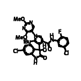 CCC(C)c1c(C2(O)C(=O)Nc3cc(Cl)ccc32)c(C(=O)Nc2cc(Cl)ccc2F)cn1-c1cnc(OC)nc1OC